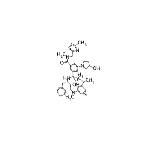 Cc1csc(CN(C)C(=O)c2cc(C(=O)N[C@@H](Cc3ccccc3)[C@H](O)CN(C)c3cncc(C(C)C)c3)cc(N3CCC(O)C3)c2)n1